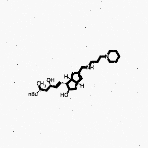 CCCC[C@H](C)C[C@H](O)/C=C/[C@@H]1[C@H]2CC(CNCCCN3CCCCC3)=C[C@H]2C[C@H]1O